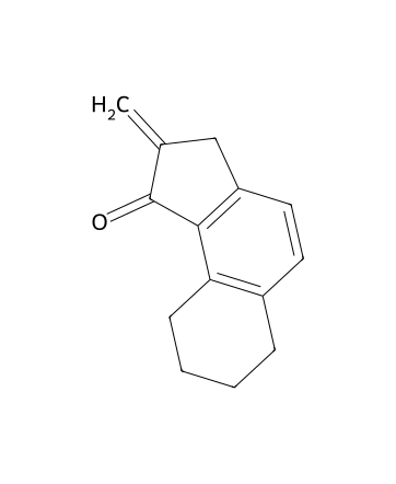 C=C1Cc2ccc3c(c2C1=O)CCCC3